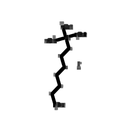 CCCCCCCCCCCCCCCC[N+](CCCCCCCC)(CCCCCCCC)CCCCCCCC.[I-]